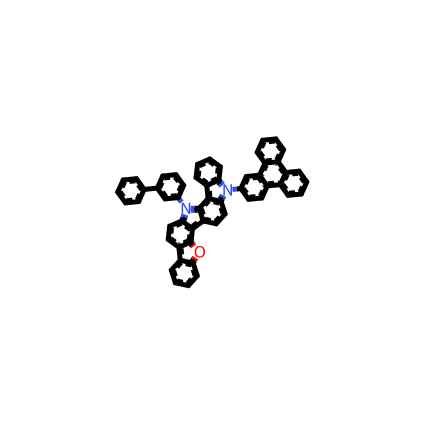 c1ccc(-c2cccc(-n3c4ccc5c6ccccc6oc5c4c4ccc5c(c6ccccc6n5-c5ccc6c7ccccc7c7ccccc7c6c5)c43)c2)cc1